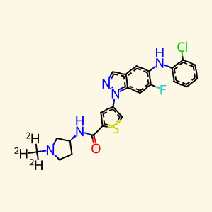 [2H]C([2H])([2H])N1CC[C@H](NC(=O)c2cc(-n3ncc4cc(Nc5ccccc5Cl)c(F)cc43)cs2)C1